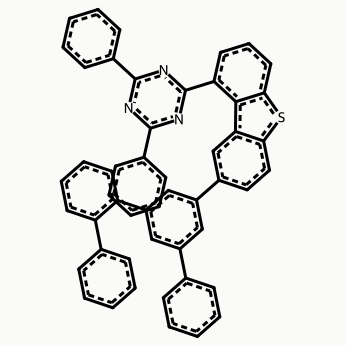 c1ccc(-c2cc(-c3ccc4sc5cccc(-c6nc(-c7ccccc7)nc(-c7ccccc7)n6)c5c4c3)cc(-c3ccccc3-c3ccccc3)c2)cc1